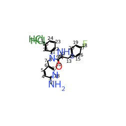 Cl.Cl.Nc1ccc(CN(C(=O)[C@@H](N)Cc2ccc(F)cc2)c2ccccc2)cn1